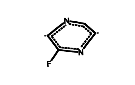 Fc1[c]nc[c]n1